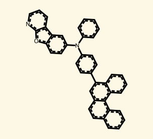 c1ccc(N(c2ccc(-c3cc4ccc5ccccc5c4c4ccccc34)cc2)c2ccc3oc4ncccc4c3c2)cc1